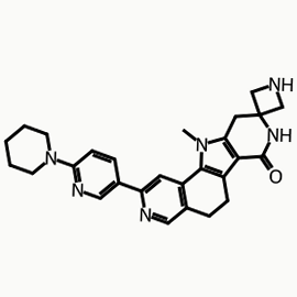 Cn1c2c(c3c1-c1cc(-c4ccc(N5CCCCC5)nc4)ncc1CC3)C(=O)NC1(CNC1)C2